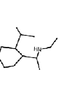 CCNC(C)C1CCCCC1C(C)C